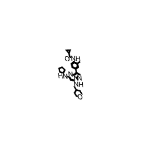 Cc1cc(-c2cnn3c(NCC4CCOCC4)cc(NC4CCCC4)nc23)ccc1NC(=O)C1CC1